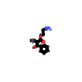 C=C(C(=O)OCCN)C(=O)c1ccccc1